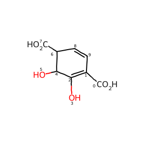 O=C(O)C1=C(O)C(O)C(C(=O)O)C=C1